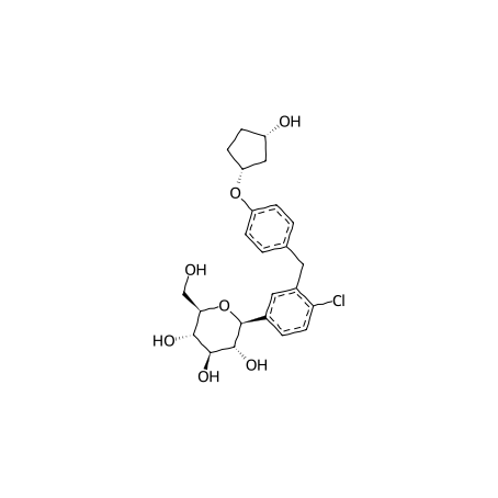 OC[C@H]1O[C@@H](c2ccc(Cl)c(Cc3ccc(O[C@@H]4CC[C@H](O)C4)cc3)c2)[C@H](O)[C@@H](O)[C@@H]1O